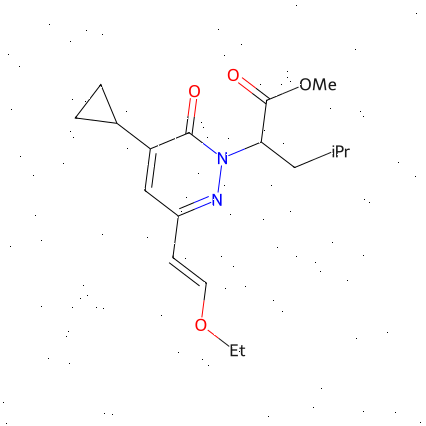 CCO/C=C/c1cc(C2CC2)c(=O)n(C(CC(C)C)C(=O)OC)n1